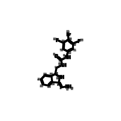 N/C=C1\NC(CNC(=O)Nc2cc(F)c(Br)c(F)c2)c2ccccc21